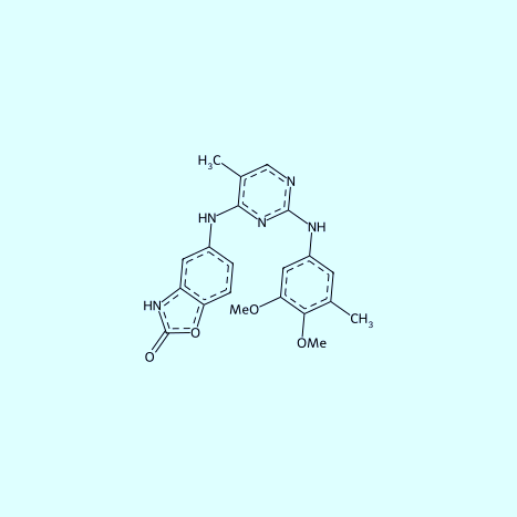 COc1cc(Nc2ncc(C)c(Nc3ccc4oc(=O)[nH]c4c3)n2)cc(C)c1OC